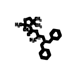 C[C@@H](CN(Cc1ccccc1)Cc1ccccc1)OC(=O)N1C(C)(C)COC1(C)C